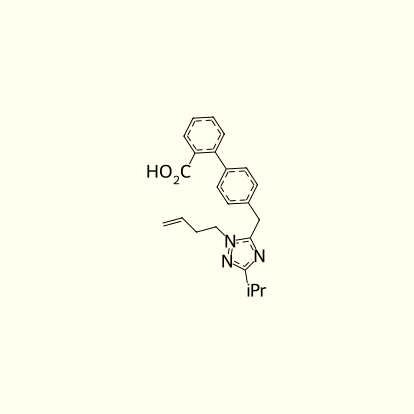 C=CCCn1nc(C(C)C)nc1Cc1ccc(-c2ccccc2C(=O)O)cc1